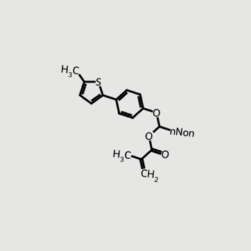 C=C(C)C(=O)OC(CCCCCCCCC)Oc1ccc(-c2ccc(C)s2)cc1